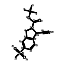 CC(C)(C)OC(=O)N1Cc2cc(S(C)(=O)=O)ccc2C1C#N